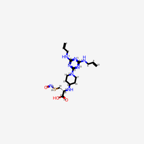 C=CCNc1nc(NCC=C)nc(N2CCC(N[C@@H](CSN=O)C(=O)O)CC2)n1